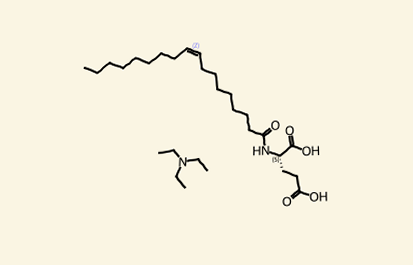 CCCCCCCC/C=C\CCCCCCCC(=O)N[C@@H](CCC(=O)O)C(=O)O.CCN(CC)CC